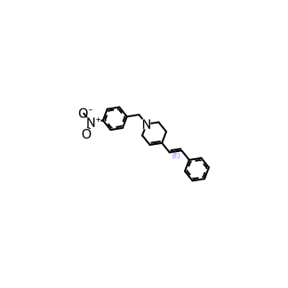 O=[N+]([O-])c1ccc(CN2CC=C(/C=C/c3ccccc3)CC2)cc1